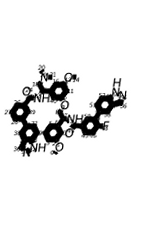 COc1cccc(C(COc2cc(OC)cc(C(CN(C)C)NC(=O)c3cccc(-c4ccc5[nH]ncc5c4)c3)c2)NC(=O)c2ccc(F)c(-c3ccc4[nH]ncc4c3)c2)c1